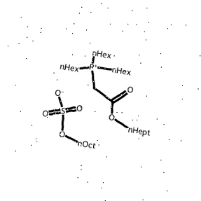 CCCCCCCCOS(=O)(=O)[O-].CCCCCCCOC(=O)C[P+](CCCCCC)(CCCCCC)CCCCCC